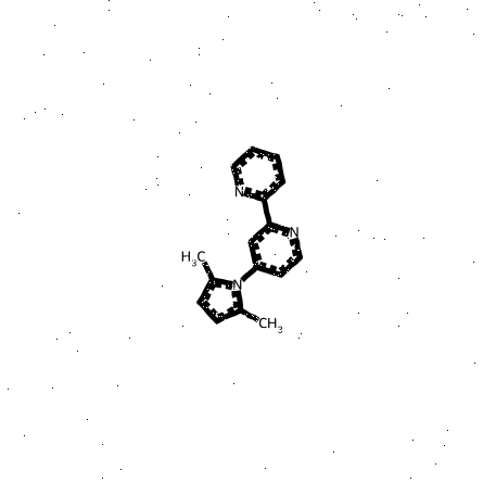 Cc1ccc(C)n1-c1ccnc(-c2ccccn2)c1